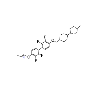 C/C=C/Oc1ccc(-c2ccc(OCC3CCC(C4CCC(C)CC4)CC3)c(F)c2F)c(F)c1F